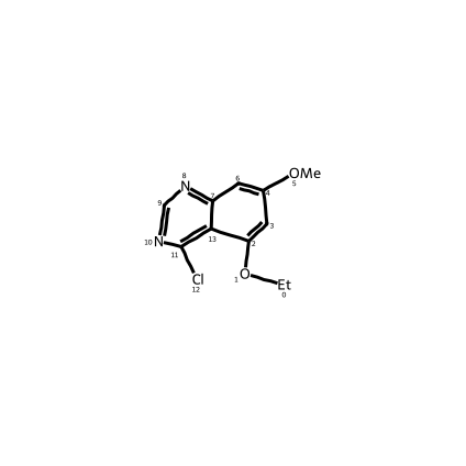 CCOc1cc(OC)cc2ncnc(Cl)c12